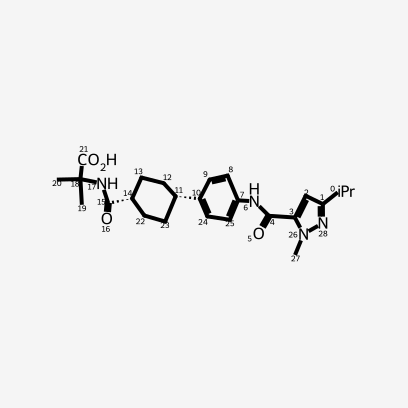 CC(C)c1cc(C(=O)Nc2ccc([C@H]3CC[C@@H](C(=O)NC(C)(C)C(=O)O)CC3)cc2)n(C)n1